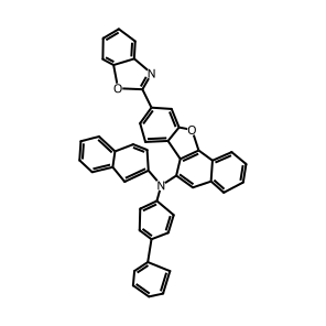 c1ccc(-c2ccc(N(c3ccc4ccccc4c3)c3cc4ccccc4c4oc5cc(-c6nc7ccccc7o6)ccc5c34)cc2)cc1